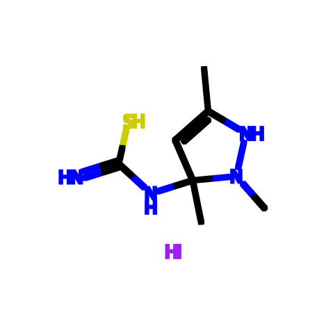 CC1=CC(C)(NC(=N)S)N(C)N1.I